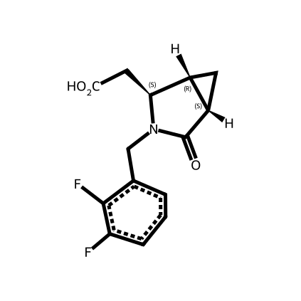 O=C(O)C[C@H]1[C@@H]2C[C@@H]2C(=O)N1Cc1cccc(F)c1F